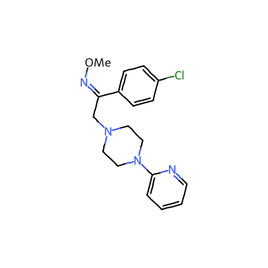 CO/N=C(/CN1CCN(c2ccccn2)CC1)c1ccc(Cl)cc1